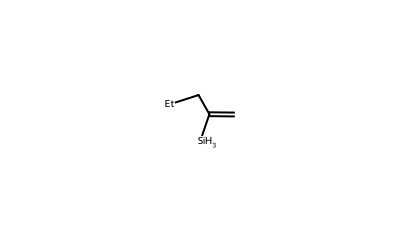 C=C([SiH3])CCC